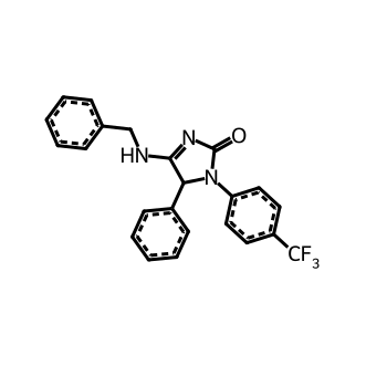 O=C1N=C(NCc2ccccc2)C(c2ccccc2)N1c1ccc(C(F)(F)F)cc1